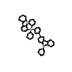 c1ccc(-n2c3ccccc3c3cc(-c4cccc(S(c5ccccc5)(c5ccccc5)c5cccc6c5oc5ccccc56)c4)ccc32)cc1